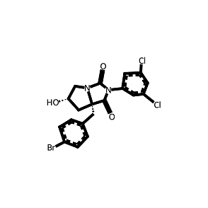 O=C1N(c2cc(Cl)cc(Cl)c2)C(=O)[C@@]2(Cc3ccc(Br)cc3)C[C@H](O)CN12